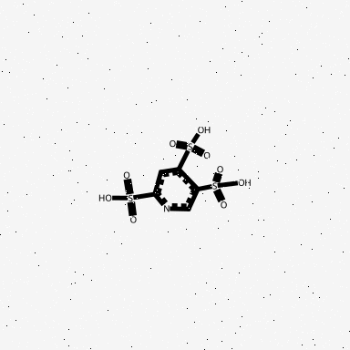 O=S(=O)(O)c1cc(S(=O)(=O)O)c(S(=O)(=O)O)cn1